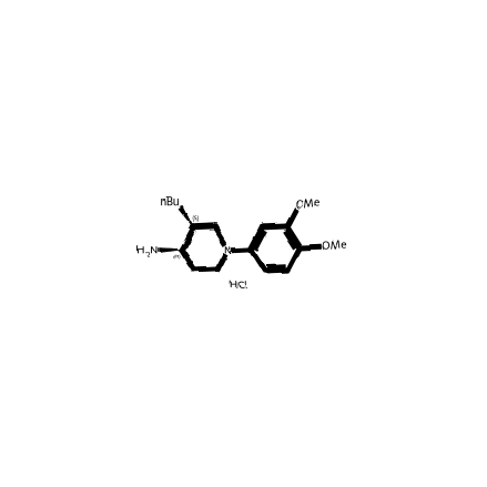 CCCC[C@H]1CN(c2ccc(OC)c(OC)c2)CC[C@H]1N.Cl